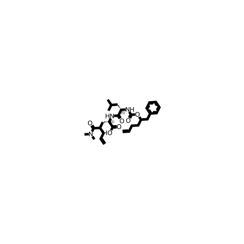 C=CCCC(Cc1ccccc1)OC(=O)N[C@@H](CC(C)C)C(=O)N[C@@H](CC(CC=C)C(=O)N(C)C)C(=O)O